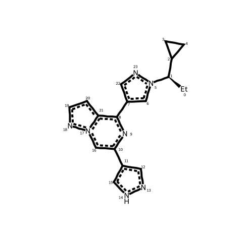 CC[C@H](C1CC1)n1cc(-c2nc(-c3cn[nH]c3)cn3nccc23)cn1